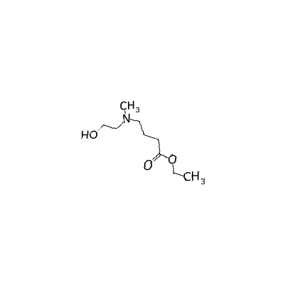 CCOC(=O)CCCN(C)CCO